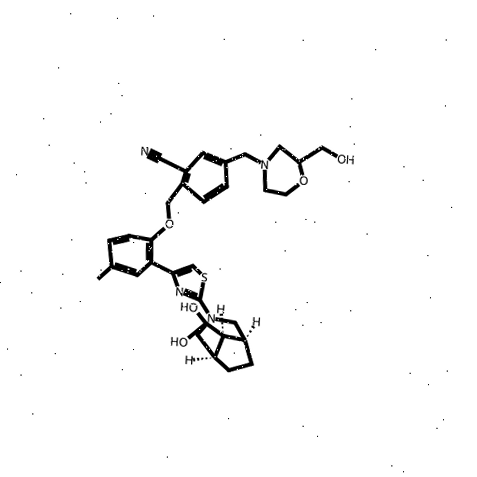 Cc1ccc(OCc2ccc(CN3CCOC(CO)C3)cc2C#N)c(-c2csc(N3C[C@H]4CC[C@@H](C3)[C@H]4C(O)O)n2)c1